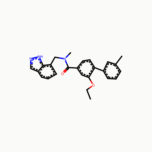 CCOc1cc(C(=O)N(C)Cc2cccc3cn[nH]c23)ccc1-c1cccc(C)c1